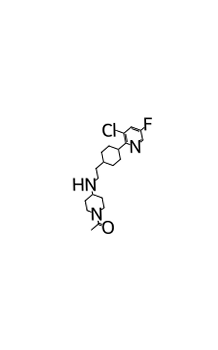 CC(=O)N1CCC(NCCC2CCC(c3ncc(F)cc3Cl)CC2)CC1